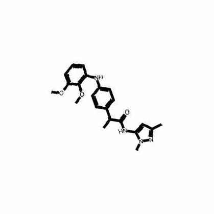 COc1cccc(Nc2ccc(C(C)C(=O)Nc3cc(C)nn3C)cc2)c1OC